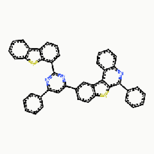 c1ccc(-c2cc(-c3ccc4sc5c(-c6ccccc6)nc6ccccc6c5c4c3)nc(-c3cccc4c3sc3ccccc34)n2)cc1